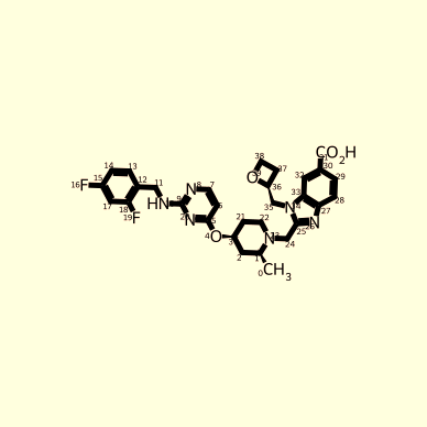 C[C@H]1C[C@@H](Oc2ccnc(NCc3ccc(F)cc3F)n2)CCN1Cc1nc2ccc(C(=O)O)cc2n1C[C@@H]1CCO1